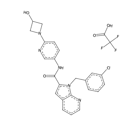 O=C(Nc1ccc(N2CC(O)C2)nc1)c1cc2cccnc2n1Cc1cccc(Cl)c1.O=C(O)C(F)(F)F